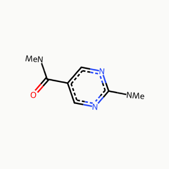 CNC(=O)c1cnc(NC)nc1